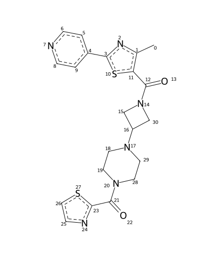 Cc1nc(-c2ccncc2)sc1C(=O)N1CC(N2CCN(C(=O)c3nccs3)CC2)C1